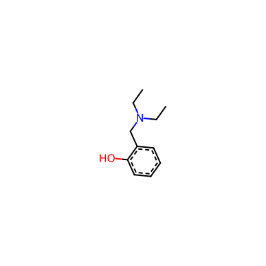 CCN(CC)Cc1ccccc1O